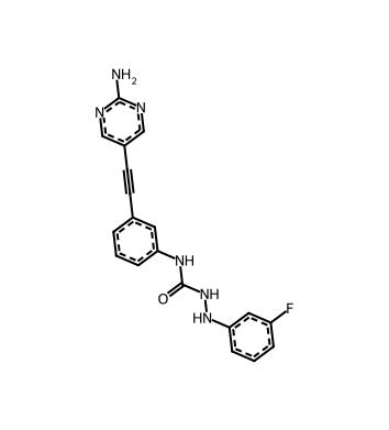 Nc1ncc(C#Cc2cccc(NC(=O)NNc3cccc(F)c3)c2)cn1